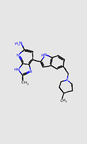 Cc1nc2c(-c3cc4cc(CN5CCC(C)CC5)ccc4[nH]3)cc(N)nc2[nH]1